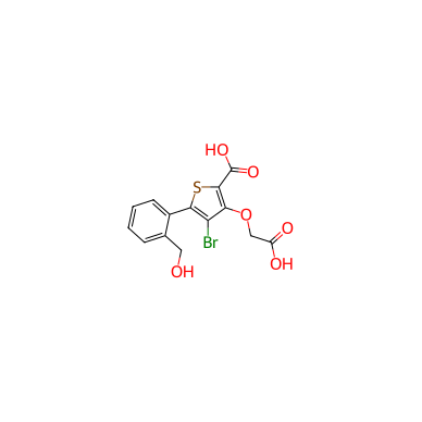 O=C(O)COc1c(C(=O)O)sc(-c2ccccc2CO)c1Br